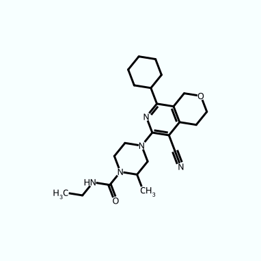 CCNC(=O)N1CCN(c2nc(C3CCCCC3)c3c(c2C#N)CCOC3)CC1C